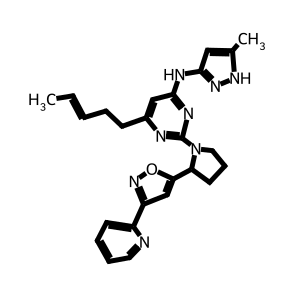 CC=CCCc1cc(Nc2cc(C)[nH]n2)nc(N2CCCC2c2cc(-c3ccccn3)no2)n1